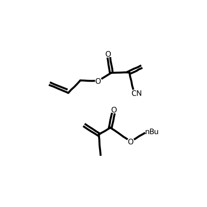 C=C(C)C(=O)OCCCC.C=CCOC(=O)C(=C)C#N